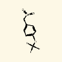 O=[SH](=O)Cc1ccc(OC(F)(F)F)cc1